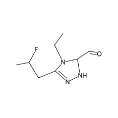 CCN1C(CC(C)F)=NNC1C=O